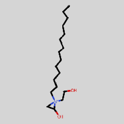 CCCCCCCCCCCCCC[N+]1(C[CH]O)CC1O